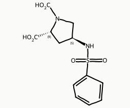 O=C(O)[C@H]1C[C@H](NS(=O)(=O)c2ccccc2)CN1C(=O)O